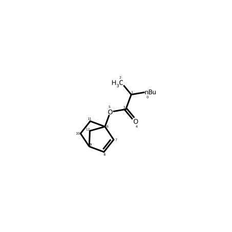 CCCCC(C)C(=O)OC12C=CC(CC1)C2